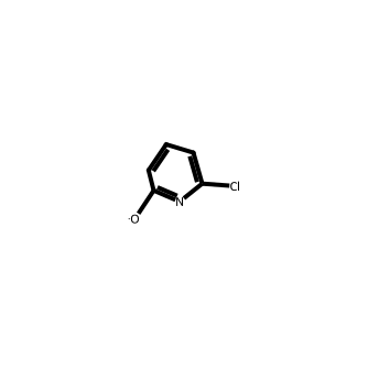 [O]c1cccc(Cl)n1